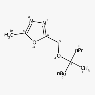 CCCCC(C)(CCC)OCc1nnc(C)o1